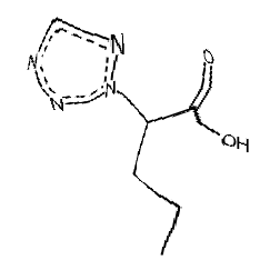 CCCC(C(=O)O)n1ncnn1